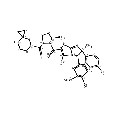 COc1cc([C@H]2N3C(=N[C@@]2(C)c2ccc(Cl)nc2)SC(C(=O)N2[C@H](C)CC[C@@H]2C(=O)N2CCNC4(CC4)C2)=C3C(C)C)ccc1Cl